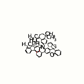 CC1(C)CCC(C)(C)c2cc(N(c3ccc4c(c3)C(C)(C)c3ccccc3-4)c3cc4c(cc3-c3ccccc3)Oc3ccccc3C43C4CC5CC(C4)C3C5)ccc21